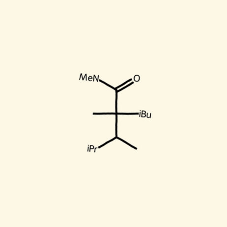 CCC(C)C(C)(C(=O)NC)C(C)C(C)C